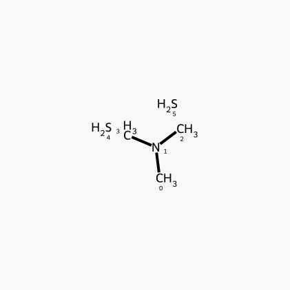 CN(C)C.S.S